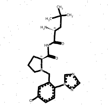 CC(C)(C)C[C@@H](N)C(=O)NC(=O)[C@@H]1CCCN1Cc1cc(Cl)ccc1-n1cncn1